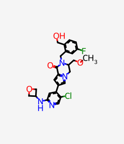 COCC1Cn2cc(-c3cc(NC4COC4)ncc3Cl)cc2C(=O)N1Cc1cc(F)ccc1CO